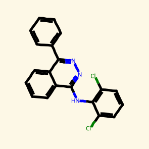 Clc1cccc(Cl)c1Nc1nnc(-c2ccccc2)c2ccccc12